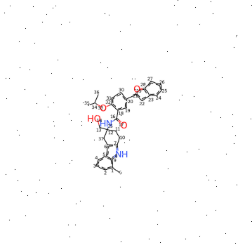 Cc1cccc2c3c([nH]c12)CCC(CO)(NC(=O)c1cc(-c2cc4ccccc4o2)ccc1OC(C)C)C3